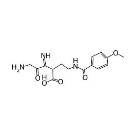 COc1ccc(C(=O)NCCC(C(=N)C(=O)CN)C(=O)O)cc1